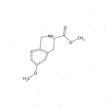 COC(=O)C1Cc2cc(OC)ccc2CN1